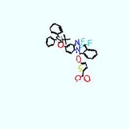 COC(=O)c1ccc(OC(c2ccccc2C(F)(F)F)n2cnc3cc(O[Si](c4ccccc4)(c4ccccc4)C(C)(C)C)ccc32)s1